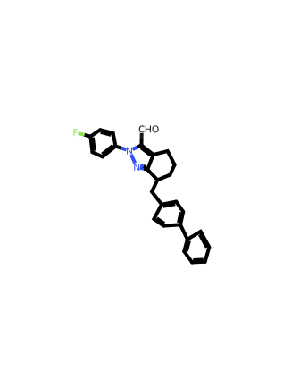 O=Cc1c2c(nn1-c1ccc(F)cc1)C(Cc1ccc(-c3ccccc3)cc1)CCC2